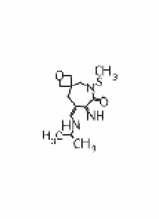 CSN1CC2(COC2)C/C(=C/NC(C)C)C(=N)C1=O